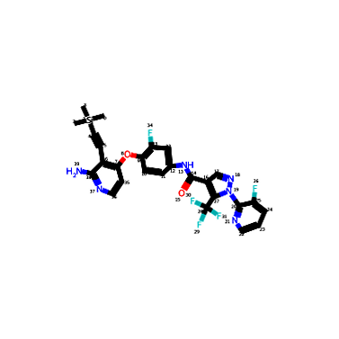 C[Si](C)(C)C#Cc1c(Oc2ccc(NC(=O)c3cnn(-c4ncccc4F)c3C(F)(F)F)cc2F)ccnc1N